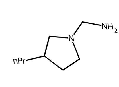 CCCC1CCN(CN)C1